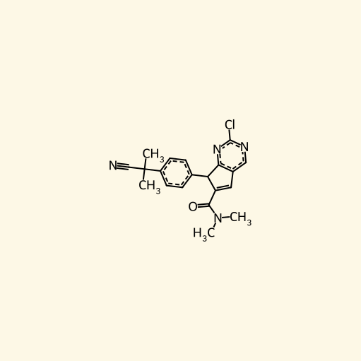 CN(C)C(=O)C1=Cc2cnc(Cl)nc2C1c1ccc(C(C)(C)C#N)cc1